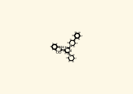 O=C(Nc1ccccc1Cl)c1cc(N2CCCCC2)nc(N2CCC(c3ccccc3)CC2)n1